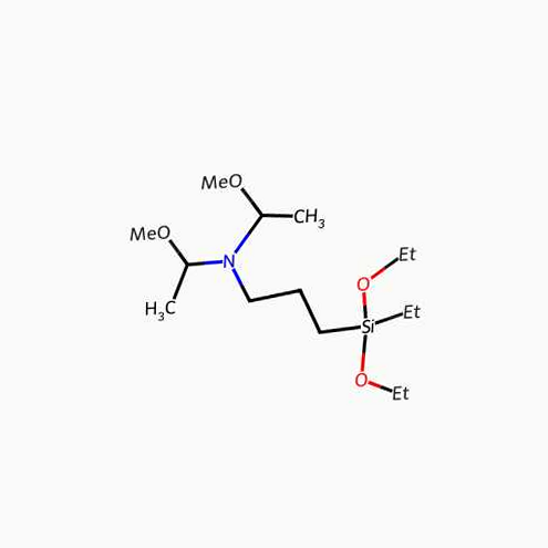 CCO[Si](CC)(CCCN(C(C)OC)C(C)OC)OCC